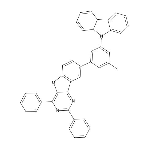 Cc1cc(-c2ccc3oc4c(-c5ccccc5)nc(-c5ccccc5)nc4c3c2)cc(N2c3ccccc3C3C=CC=CC32)c1